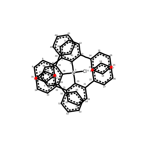 Cl[Si](c1c(-c2ccccc2)cccc1-c1ccccc1)(c1c(-c2ccccc2)cccc1-c1ccccc1)c1c(-c2ccccc2)cccc1-c1ccccc1